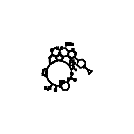 CO[C@@H](C)c1ncc(C2CCN(C3CC3)CC2)cc1-c1c2c3cc(cc4c3n1CCO4)-c1csc(n1)C[C@H](N)C(=O)N1CCC[C@H](N1)C(=O)OCC(C)(C)C2